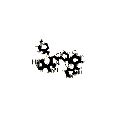 CN1CCC(C)(COc2cc(C3CC(C)(COc4ccnc5[nH]cc(-c6ccc(Cl)cc6F)c45)CCN3)nc3[nH]cc(-c4cn[nH]c4)c23)CC1